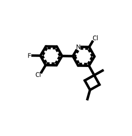 CC1CC(C)(c2cc(Cl)nc(-c3ccc(F)c(Cl)c3)c2)C1